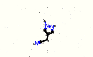 Cn1cc(CC#N)cn1